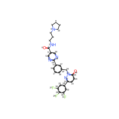 O=C(NCCCN1CCCC1)c1cnc(-c2cccc(Cn3nc(-c4cc(F)c(F)c(F)c4)ccc3=O)c2)nc1